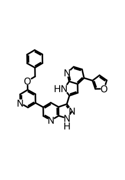 c1ccc(COc2cncc(-c3cnc4[nH]nc(-c5cc6c(-c7ccoc7)ccnc6[nH]5)c4c3)c2)cc1